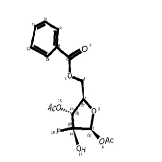 CC(=O)O[C@@H]1O[C@H](COC(=O)c2ccccc2)[C@@H](OC(C)=O)[C@@]1(O)F